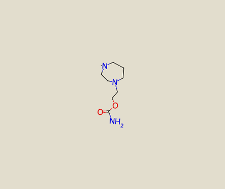 NC(=O)OCCN1CCC[N]CC1